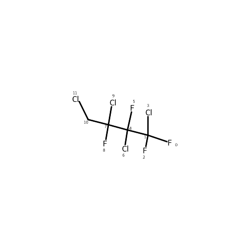 FC(F)(Cl)C(F)(Cl)C(F)(Cl)CCl